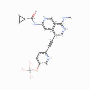 BC(B)(B)Oc1ccc(C#Cc2cnc(NC)c3cnc(NC(=O)C4CC4)cc23)nc1